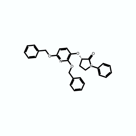 O=C1[C@@H](Oc2ccc(OCc3ccccc3)nc2OCc2ccccc2)CCN1c1ccccc1